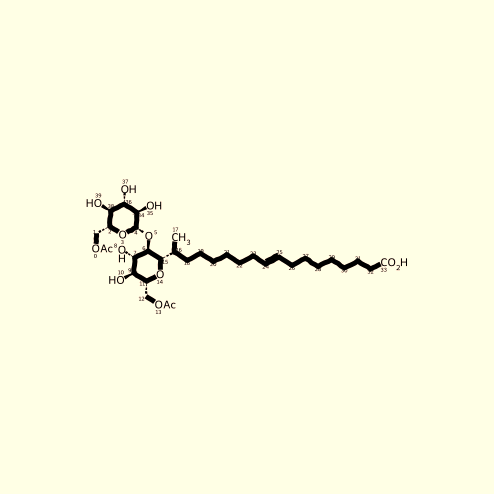 CC(=O)OC[C@H]1O[C@@H](O[C@@H]2[C@@H](O)[C@H](O)[C@@H](COC(C)=O)O[C@H]2C(C)CCCCCCC=CCCCCCCCC(=O)O)[C@H](O)[C@@H](O)[C@@H]1O